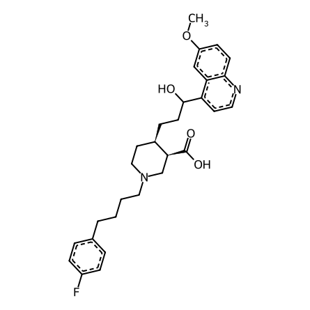 COc1ccc2nccc(C(O)CC[C@@H]3CCN(CCCCc4ccc(F)cc4)C[C@@H]3C(=O)O)c2c1